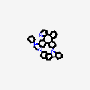 c1ccc(-n2ccn(-c3ccccc3)c3cc4c(cc32)c2cc(-n3c5ccccc5c5ccccc53)ccc2c2ccccc2c2cccnc24)cc1